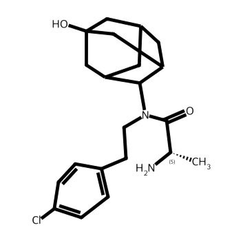 C[C@H](N)C(=O)N(CCc1ccc(Cl)cc1)C1C2CC3CC1CC(O)(C3)C2